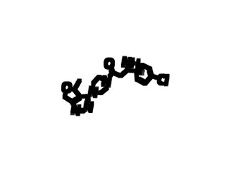 CC1OCc2ncnc(N3CCN(C(=O)CC(N)c4ccc(Cl)cc4)CC3)c21